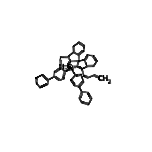 C=C/C=C\C1=C([N+](C)(c2ccc(-c3ccccc3)cc2)c2ccc(-c3ccccc3)cc2)C2(c3ccccc31)c1ccccc1-c1ccccc12